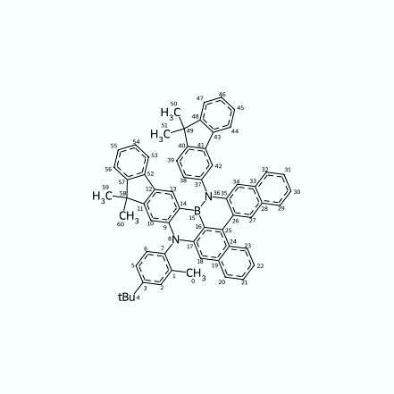 Cc1cc(C(C)(C)C)ccc1N1c2cc3c(cc2B2c4c1cc1ccccc1c4-c1cc4ccccc4cc1N2c1ccc2c(c1)-c1ccccc1C2(C)C)-c1ccccc1C3(C)C